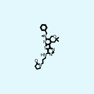 CN(Cc1ccccc1)c1nc2sc3c(NCCCN4CCCC4=O)ncnc3c2c2c1COC(C)(C)C2